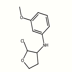 COc1cccc(NC2CCO[C]2Cl)c1